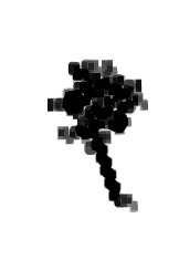 CCCCCCCCCC(=O)N[C@@H](CC(C)C)C(=O)N[C@H](C(=O)N1CCC[C@@H]1C(=O)N[C@H](C(=O)N[C@@H](C)C(=O)N[C@@H](Cc1ccc(O)cc1)C(=O)NC(C)C=O)C(C)O)C(C)O